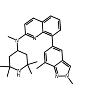 Cc1cc(-c2cccc3ccc(N(C)C4CC(C)(C)NC(C)(C)C4)nc23)cc2cn(C)nc12